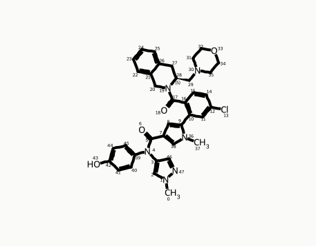 Cn1cc(N(C(=O)c2cc(-c3cc(Cl)ccc3C(=O)N3Cc4ccccc4C[C@H]3CN3CCOCC3)n(C)c2)c2ccc(O)cc2)cn1